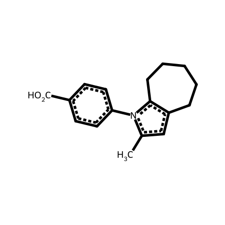 Cc1cc2c(n1-c1ccc(C(=O)O)cc1)CCCCC2